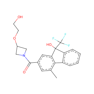 Cc1cc(C(=O)N2CC(OCCO)C2)cc2c1-c1ccccc1C2(O)C(F)(F)F